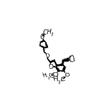 COc1ccc(COCc2cc3c(C=O)cc(OC)c(OC)c3o2)cc1